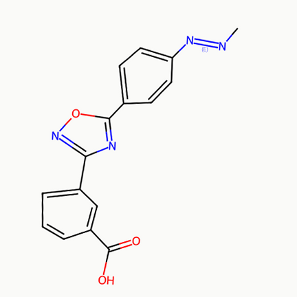 C/N=N/c1ccc(-c2nc(-c3cccc(C(=O)O)c3)no2)cc1